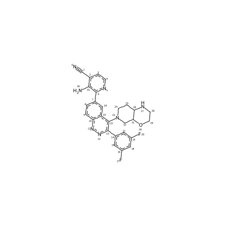 N#Cc1ccnc(-c2ccc3nnc(-c4cc(F)cc(F)c4)c(N4CCC5NCCOC5C4)c3c2)c1N